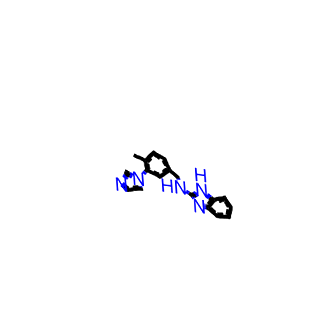 Cc1ccc(CNc2nc3ccccc3[nH]2)cc1-n1ccnc1